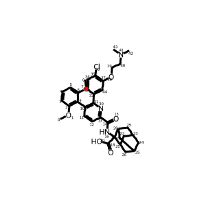 COc1cccc(OC)c1-c1ccc(C(=O)NC2(C(=O)O)C3CC4CC(C3)CC2C4)nc1-c1ccc(Cl)c(OCCN(C)C)c1